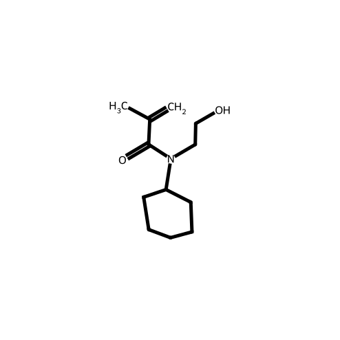 C=C(C)C(=O)N(CCO)C1CCCCC1